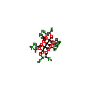 FCOC(OCF)(OCF)C(OCF)(OCF)C(OCF)(OCF)C(OCF)(OCF)OCF